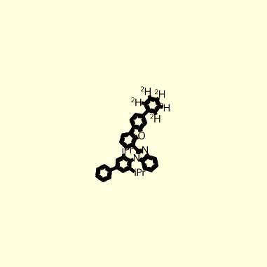 [2H]c1c([2H])c([2H])c(-c2ccc3c(c2)oc2c(-c4nc5ccccc5n4-c4c(C(C)C)cc(-c5ccccc5)cc4C(C)C)cccc23)c([2H])c1[2H]